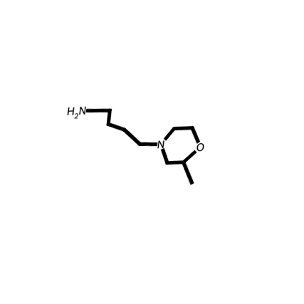 CC1CN(CCCCN)CCO1